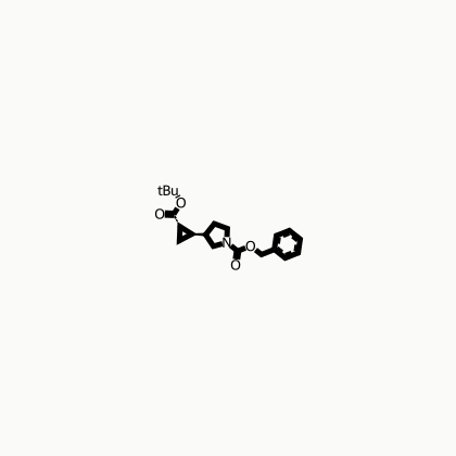 CC(C)(C)OC(=O)[C@H]1C[C@@H]1C1CCN(C(=O)OCc2ccccc2)C1